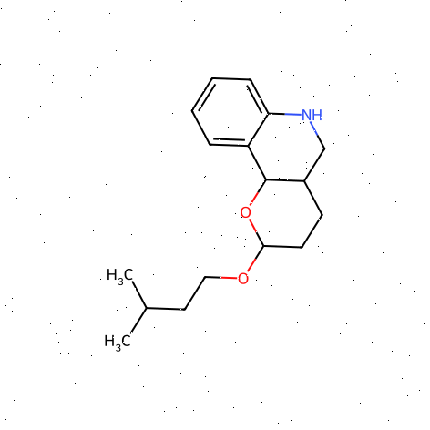 CC(C)CCOC1CCC2CNc3ccccc3C2O1